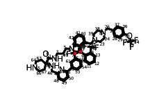 O=C(NCCCn1cc(-c2ccccc2C(F)(F)F)c2c(CN3CCN(Cc4ccc(OC(F)(F)F)cc4)CC3)cccc21)C1(NCc2cccc(-c3cccc(C(F)(F)F)c3)n2)CCNCC1